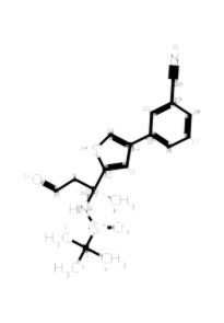 CC(C)(C)[S+]([O-])N[C@@](C)(CC=O)c1cc(-c2cccc(C#N)c2)cs1